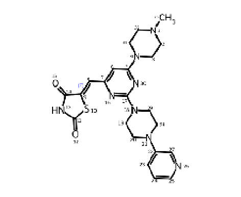 CN1CCN(c2cc(/C=C3\SC(=O)NC3=O)nc(N3CCN(c4cccnc4)CC3)n2)CC1